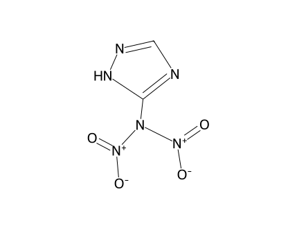 O=[N+]([O-])N(c1ncn[nH]1)[N+](=O)[O-]